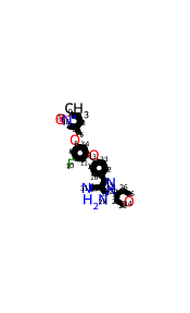 Cc1ccc(COc2cc(F)cc(Oc3ccc(-c4nn(C5CCOCC5)c(N)c4C#N)cc3)c2)c[n+]1[O-]